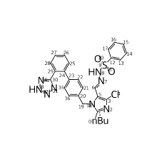 CCCCc1nc(Cl)c(C=NNS(=O)(=O)c2ccccc2)n1Cc1ccc(-c2ccccc2-c2nn[nH]n2)cc1